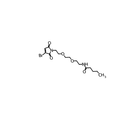 CCCCC(=O)NCCOCCOCCN1C(=O)C=C(Br)C1=O